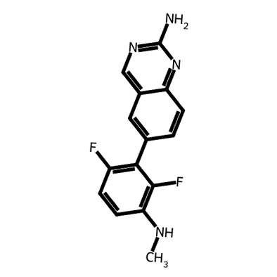 CNc1ccc(F)c(-c2ccc3nc(N)ncc3c2)c1F